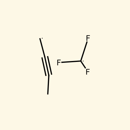 F[C](F)F.[CH2]C#CC